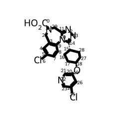 O=C(O)N1Cc2cc(Cl)ccc2-n2c(nnc2[C@H]2CC[C@H](Oc3cncc(Cl)c3)CC2)C1